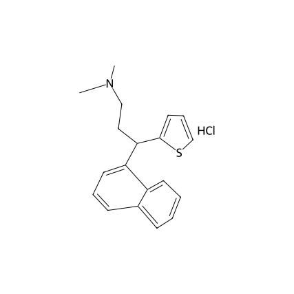 CN(C)CCC(c1cccs1)c1cccc2ccccc12.Cl